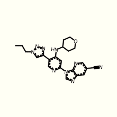 CCCn1cc(-c2cnc(-n3cnc4cc(C#N)cnc43)cc2NC2CCOCC2)nn1